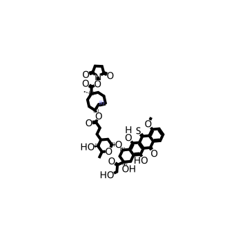 COc1cccc2c1C(=S)c1c(O)c3c(c(O)c1C2=O)C[C@@](O)(C(=O)CO)C[C@@H]3O[C@H]1CC(CCC(=O)O[C@@H]2/C=C/CC[C@](C)(C(=O)ON3C(=O)CCC3=O)CC2)[C@H](O)C(C)O1